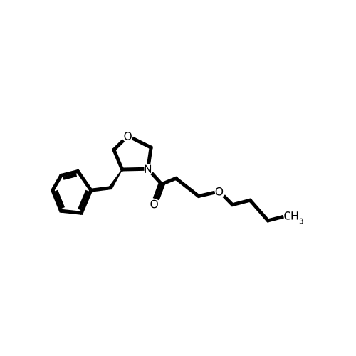 CCCCOCCC(=O)N1COC[C@@H]1Cc1ccccc1